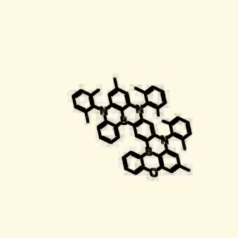 Cc1cc2c3c(c1)N(c1c(C)cccc1C)c1cc4c(cc1B3c1ccccc1O2)B1c2ccccc2N(c2c(C)cccc2C)c2cc(C)cc(c21)N4c1c(C)cccc1C